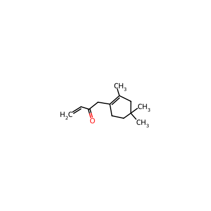 C=CC(=O)CC1=C(C)CC(C)(C)CC1